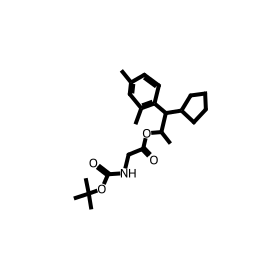 Cc1ccc(C(C2CCCC2)C(C)OC(=O)CNC(=O)OC(C)(C)C)c(C)c1